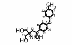 Cc1ccc(Sc2ccc(C(O)CC(N)(CO)CO)cc2)cc1